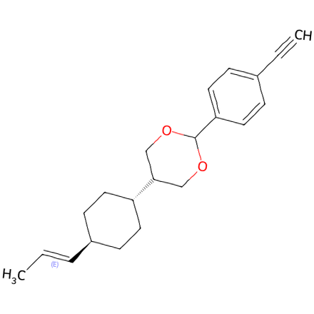 C#Cc1ccc(C2OCC([C@H]3CC[C@H](/C=C/C)CC3)CO2)cc1